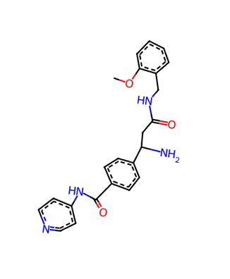 COc1ccccc1CNC(=O)CC(N)c1ccc(C(=O)Nc2ccncc2)cc1